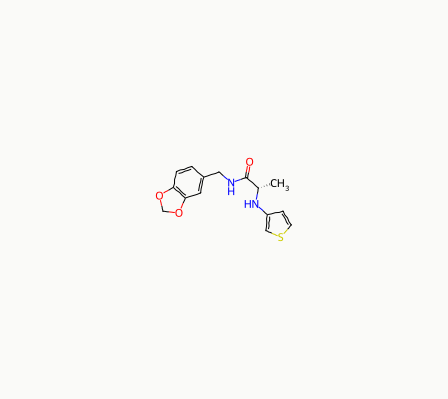 C[C@H](Nc1ccsc1)C(=O)NCc1ccc2c(c1)OCO2